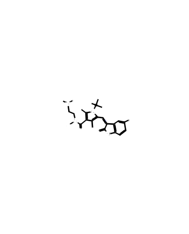 CCN(CC)CCN(C(=O)c1c(C)c(/C=C2\C(=O)Nc3ccc(F)cc32)n(C(C)(C)CC)c1C)C(C)(C)C